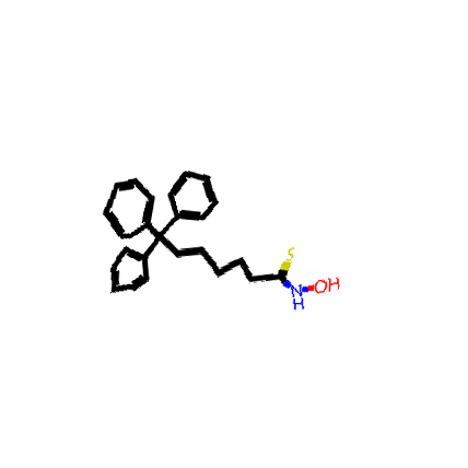 ONC(=S)CCCCCC(c1ccccc1)(c1ccccc1)c1ccccc1